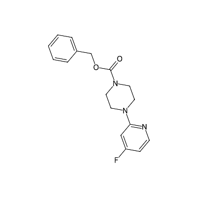 O=C(OCc1ccccc1)N1CCN(c2cc(F)ccn2)CC1